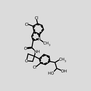 CC(c1ccc(C2(NC(=O)c3cc4c(Cl)c(Cl)ccc4n3C)COC2)c(Cl)c1)C(O)O